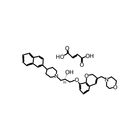 O=C(O)C=CC(=O)O.O[C@H](COc1cccc2c1OCC(CN1CCOCC1)=C2)CN1CCC(c2ccc3ccccc3c2)CC1